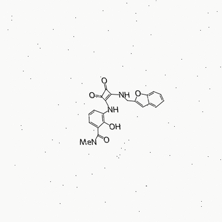 CNC(=O)c1cccc(Nc2c(NCc3cc4ccccc4o3)c(=O)c2=O)c1O